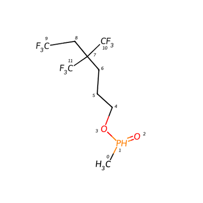 C[PH](=O)OCCCC(CC(F)(F)F)(C(F)(F)F)C(F)(F)F